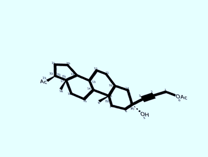 CC(=O)OCC#C[C@@]1(O)CC[C@@]2(C)C(CCC3C2CC[C@@]2(C)C3CC[C@@H]2C(C)=O)C1